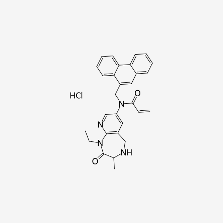 C=CC(=O)N(Cc1cc2ccccc2c2ccccc12)c1cnc2c(c1)CNC(C)C(=O)N2CC.Cl